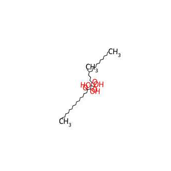 CCCCCCCCCCCCCCCC(=O)C(O)C(O)(C(=O)O)C(=O)CCCC(CC)CCCCCCCCCCC